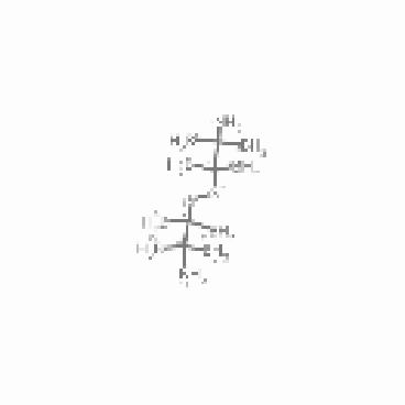 BC(B)(N)C(B)(B)SSC(B)(B)C(B)(B)N